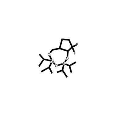 CC(C)[Si]1(C(C)C)OCC2C[CH]C(F)(F)C2O[Si](C(C)C)(C(C)C)O1